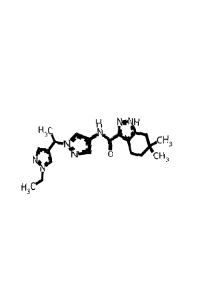 CCn1cc(C(C)n2cc(NC(=O)c3n[nH]c4c3CCC(C)(C)C4)cn2)cn1